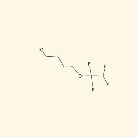 [O]CCCCOC(F)(F)C(F)F